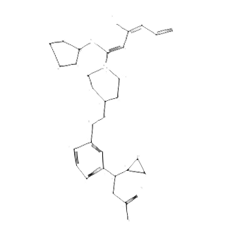 C=C/C=C(O)\C=C(/NC1CCCC1)N1CCC(CCc2cccc(C(CC(C)=O)C3CC3)c2)CC1